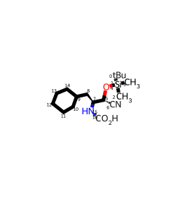 CC(C)(C)[Si](C)(C)O[C@H](C#N)[C@H](CC1CCCCC1)NC(=O)O